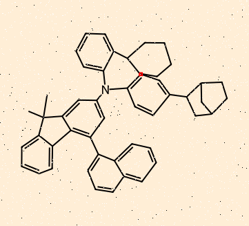 CC1(C)c2ccccc2-c2c(-c3cccc4ccccc34)cc(N(c3ccc(C4CC5CCC4C5)cc3)c3ccccc3C3CCCCC3)cc21